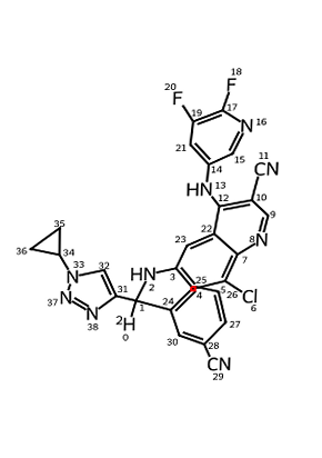 [2H]C(Nc1cc(Cl)c2ncc(C#N)c(Nc3cnc(F)c(F)c3)c2c1)(c1cccc(C#N)c1)c1cn(C2CC2)nn1